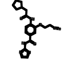 COCCOc1cc(C(=O)Nc2nccs2)ccc1NC(=O)CC1CCCC1